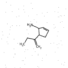 C=C(CC)C1CC=CC1N